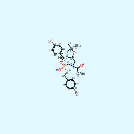 COC(=O)[C@](C)(C[C@H](O[Si](C)(C)C(C)(C)C)C(=O)O)CP(=O)(OCc1ccc(Br)cc1)OCc1ccc(Br)cc1